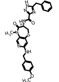 COc1ccc(CNc2cc3c(cn2)N(C)C(=O)[C@@H](NC(=O)c2n[nH]c(Cc4ccccc4)n2)CS3)cc1